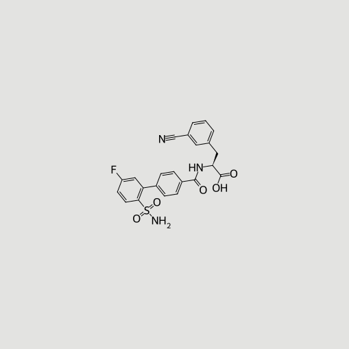 N#Cc1cccc(C[C@H](NC(=O)c2ccc(-c3cc(F)ccc3S(N)(=O)=O)cc2)C(=O)O)c1